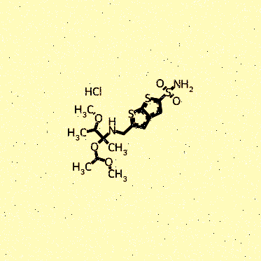 COC(C)OC(C)(NCc1cc2cc(S(N)(=O)=O)sc2s1)C(C)OC.Cl